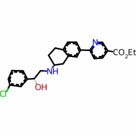 CCOC(=O)c1ccc(-c2ccc3c(c2)C[C@@H](NC[C@H](O)c2cccc(Cl)c2)CC3)nc1